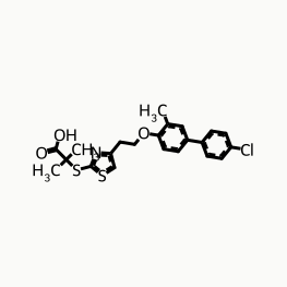 Cc1cc(-c2ccc(Cl)cc2)ccc1OCCc1csc(SC(C)(C)C(=O)O)n1